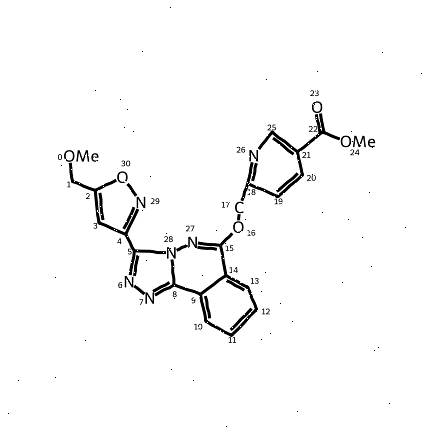 COCc1cc(-c2nnc3c4ccccc4c(OCc4ccc(C(=O)OC)cn4)nn23)no1